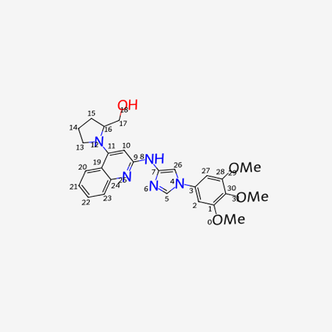 COc1cc(-n2cnc(Nc3cc(N4CCCC4CO)c4ccccc4n3)c2)cc(OC)c1OC